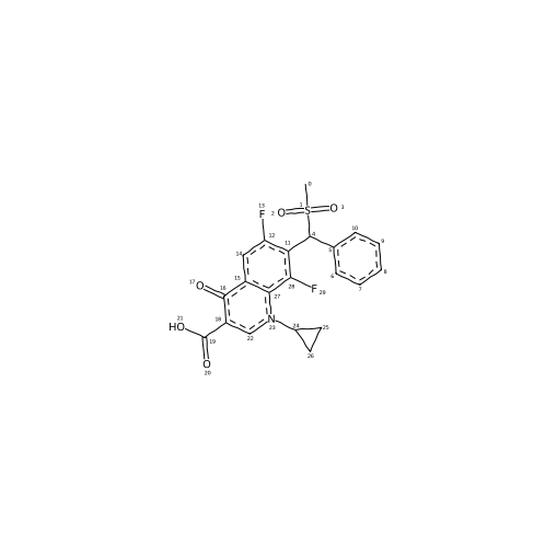 CS(=O)(=O)C(c1ccccc1)c1c(F)cc2c(=O)c(C(=O)O)cn(C3CC3)c2c1F